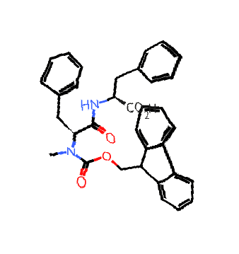 CN(C(=O)OCC1c2ccccc2-c2ccccc21)[C@@H](Cc1ccccc1)C(=O)N[C@@H](Cc1ccccc1)C(=O)O